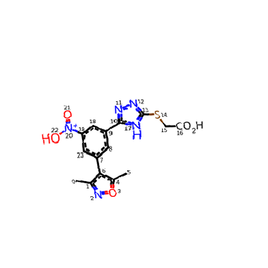 Cc1noc(C)c1-c1cc(-c2nnc(SCC(=O)O)[nH]2)cc([N+](=O)O)c1